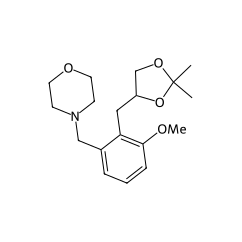 COc1cccc(CN2CCOCC2)c1CC1COC(C)(C)O1